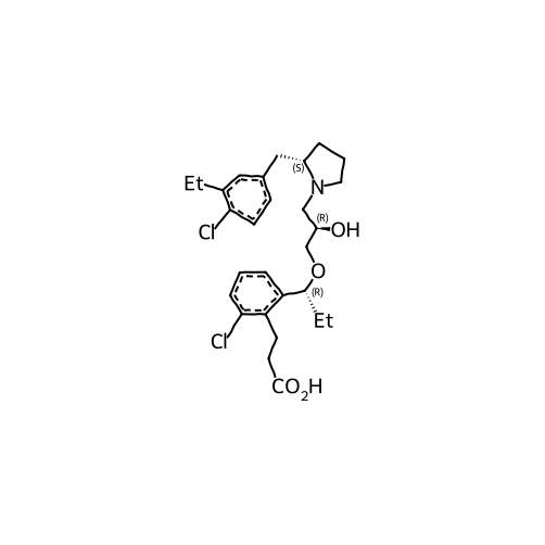 CCc1cc(C[C@@H]2CCCN2C[C@@H](O)CO[C@H](CC)c2cccc(Cl)c2CCC(=O)O)ccc1Cl